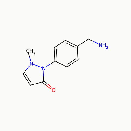 Cn1ccc(=O)n1-c1ccc(CN)cc1